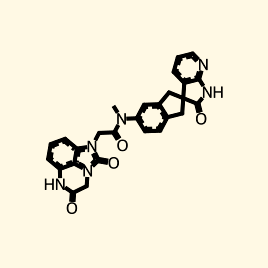 CN(C(=O)Cn1c(=O)n2c3c(cccc31)NC(=O)C2)c1ccc2c(c1)CC1(C2)C(=O)Nc2ncccc21